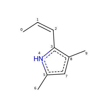 C/C=C\c1[nH]c(C)cc1C